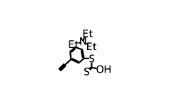 C#Cc1cccc(SC(O)=S)c1.CCN(CC)CC